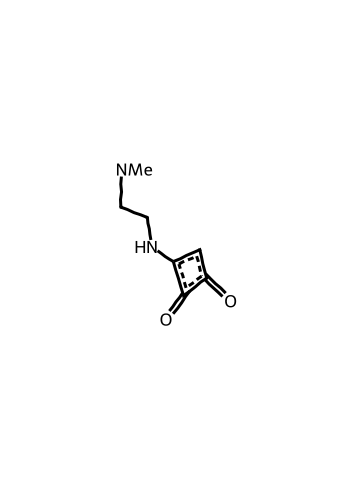 CNCCNc1cc(=O)c1=O